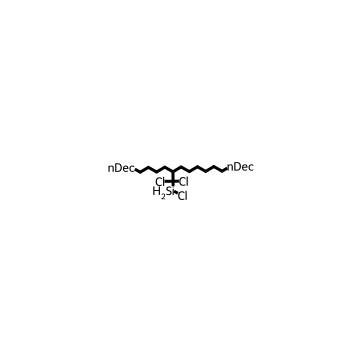 CCCCCCCCCCCCCCCCC(CCCCCCCCCCCCCC)C(Cl)(Cl)[SiH2]Cl